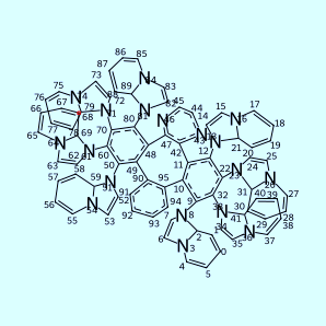 C1=CC2N(C=C1)C=CN2c1c2c(c(N3C=CN4C=CC=CC43)c(N3C=CN4C=CC=CC43)c1N1C=CN3C=CC=CC31)-c1nccnc1-c1c(c(N3C=CN4C=CC=CC43)c(N3C=CN4C=CC=CC43)c(N3C=CN4C=CC=CC43)c1N1C=CN3C=CC=CC31)-c1ccccc1-2